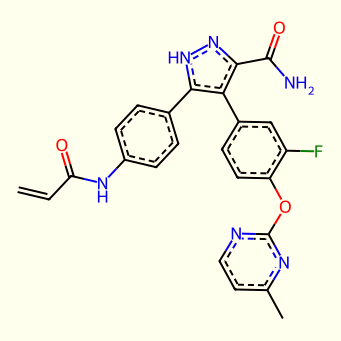 C=CC(=O)Nc1ccc(-c2[nH]nc(C(N)=O)c2-c2ccc(Oc3nccc(C)n3)c(F)c2)cc1